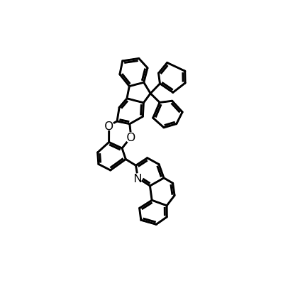 c1ccc(C2(c3ccccc3)c3ccccc3-c3cc4c(cc32)Oc2c(cccc2-c2ccc3ccc5ccccc5c3n2)O4)cc1